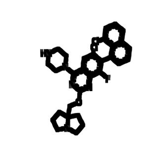 Fc1c(-c2cccc3cccc(Cl)c23)c(Cl)cc2c(N3CCNCC3)nc(OCC34CCCN3CCC4)nc12